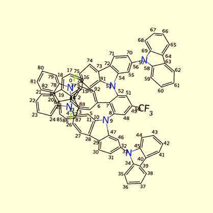 Fc1cc(F)cc(-c2c(-n3c4cc(-n5c6ccccc6c6ccccc65)ccc4c4ccc(-n5c6ccccc6c6ccccc65)cc43)cc(C(F)(F)F)cc2-n2c3cc(-n4c5ccccc5c5ccccc54)ccc3c3ccc(-n4c5ccccc5c5ccccc54)cc32)c1